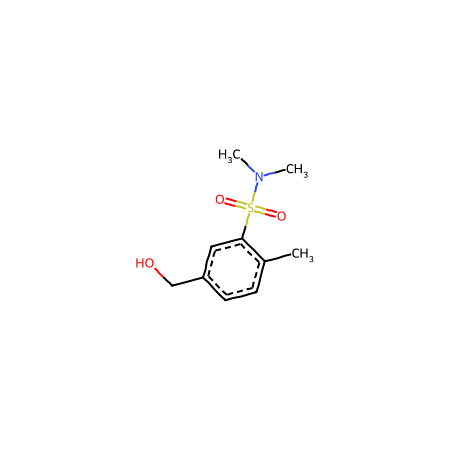 Cc1ccc(CO)cc1S(=O)(=O)N(C)C